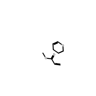 C1=COCCC1.C=CC(=O)OC